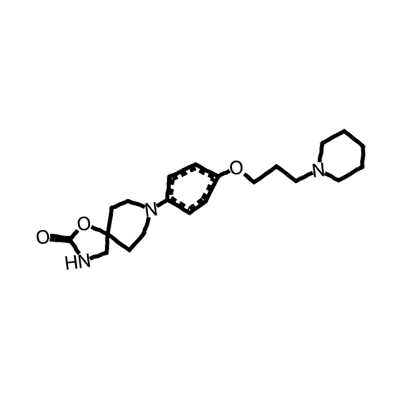 O=C1NCC2(CCN(c3ccc(OCCCN4CCCCC4)cc3)CC2)O1